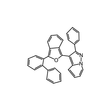 c1ccc(-c2ccccc2-c2oc(-c3c(-c4ccccc4)nn4ccccc34)c3ccccc23)cc1